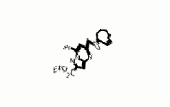 CCOC(=O)c1cc2nc(COC3CCCCCC3)cc(C(C)C)n2n1